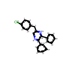 Clc1ccc(Cc2cnc(-c3ccccc3)c(-c3ccccc3)n2)cc1